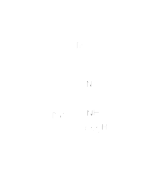 O=C(O)NC(c1ccc(Br)cn1)C(F)(F)F